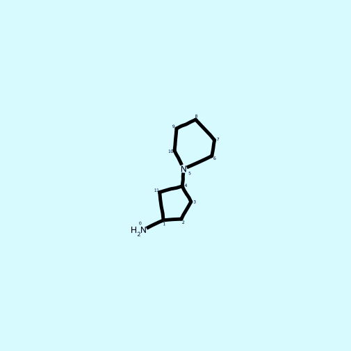 NC1CCC(N2CCCCC2)C1